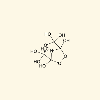 CN1C2(O)OOC1(O)C(O)(O)OC2(O)O